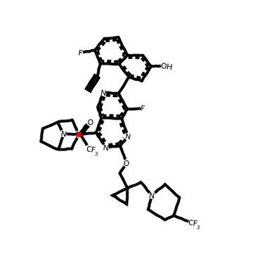 C#Cc1c(F)ccc2cc(O)cc(-c3ncc4c(N5CC6CCC(C5)N6C(=O)C(F)(F)F)nc(OCC5(CN6CCC(C(F)(F)F)CC6)CC5)nc4c3F)c12